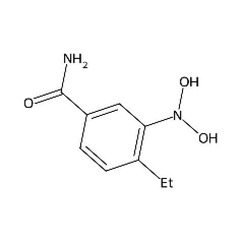 CCc1ccc(C(N)=O)cc1N(O)O